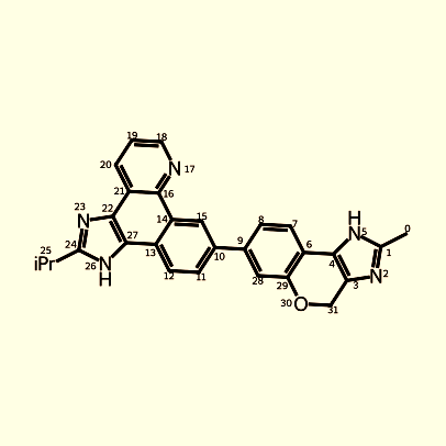 Cc1nc2c([nH]1)-c1ccc(-c3ccc4c(c3)c3ncccc3c3nc(C(C)C)[nH]c43)cc1OC2